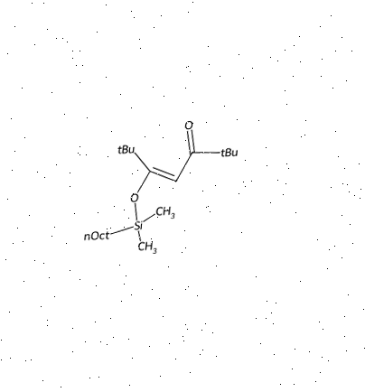 CCCCCCCC[Si](C)(C)OC(=CC(=O)C(C)(C)C)C(C)(C)C